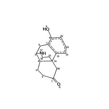 O=C1CCC2C3Cc4c(O)cccc4C2(CCN3)C1